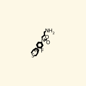 NCC1CN(c2ccc(N3C4CCC3CSC4)c(F)c2)C(=O)O1